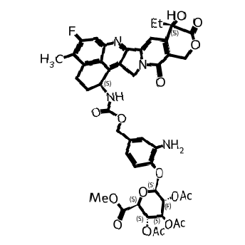 CC[C@@]1(O)C(=O)OCc2c1cc1n(c2=O)Cc2c-1nc1cc(F)c(C)c3c1c2[C@@H](NC(=O)OCc1ccc(O[C@@H]2O[C@H](C(=O)OC)[C@@H](OC(C)=O)[C@H](OC(C)=O)[C@H]2OC(C)=O)c(N)c1)CC3